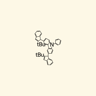 CC(C)(C)C1=Cc2ccccc2C1c1ccc2c(c1)c1cc(C3C(C(C)(C)C)=Cc4ccccc43)ccc1n2-c1ccccc1